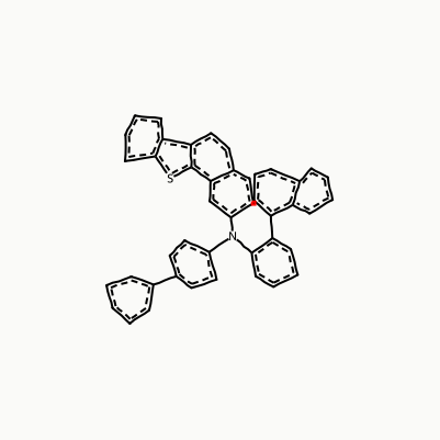 c1ccc(-c2ccc(N(c3ccc4ccc5c6ccccc6sc5c4c3)c3ccccc3-c3cccc4ccccc34)cc2)cc1